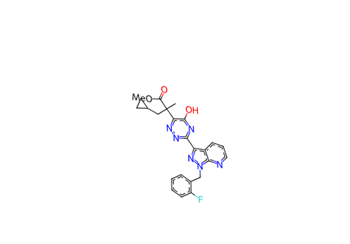 COC(=O)C(C)(CC1CC1)c1nnc(-c2nn(Cc3ccccc3F)c3ncccc23)nc1O